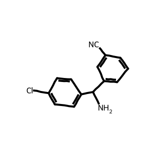 N#Cc1cccc(C(N)c2ccc(Cl)cc2)c1